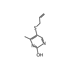 C=CCSc1cnc(O)nc1C